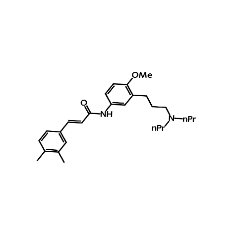 CCCN(CCC)CCCc1cc(NC(=O)C=Cc2ccc(C)c(C)c2)ccc1OC